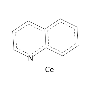 [Ce].c1ccc2ncccc2c1